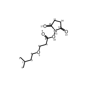 CC(C)CCOCCC(=O)ON1C(=O)CCC1=O